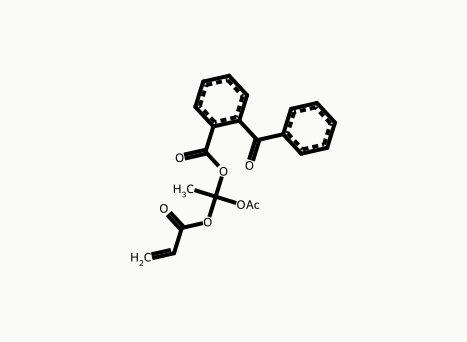 C=CC(=O)OC(C)(OC(C)=O)OC(=O)c1ccccc1C(=O)c1ccccc1